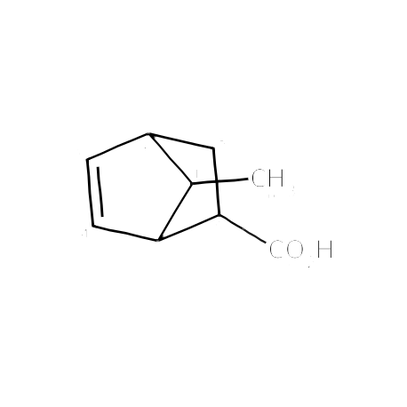 CC1C2C=CC1C(C(=O)O)C2